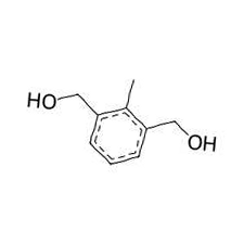 Cc1c(CO)cccc1CO